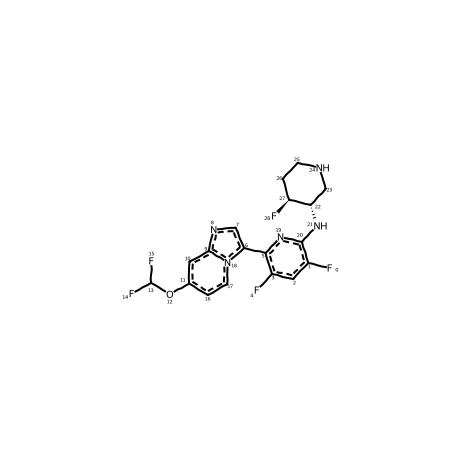 Fc1cc(F)c(-c2cnc3cc(OC(F)F)ccn23)nc1N[C@H]1CNCC[C@@H]1F